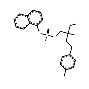 Cc1ccc(CCC(N)(CO)COP(N)(=O)Oc2cccc3ccccc23)cc1